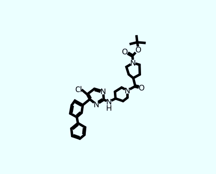 CC(C)(C)OC(=O)N1CCC(C(=O)N2CCC(Nc3ncc(Cl)c(-c4cccc(-c5ccccc5)c4)n3)CC2)CC1